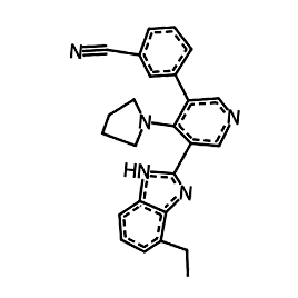 CCc1cccc2[nH]c(-c3cncc(-c4cccc(C#N)c4)c3N3CCCC3)nc12